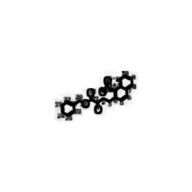 O=C(CCc1ccc2ccccc2c1[N+](=O)[O-])C(=O)OCc1ccccc1